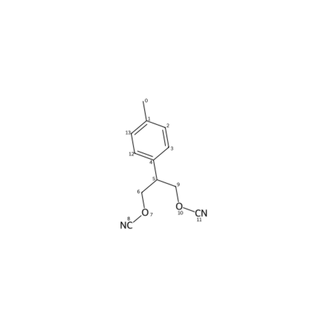 Cc1ccc(C(COC#N)COC#N)cc1